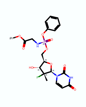 CC(C)OC(=O)CN[P@@](=O)(OC[C@H]1O[C@@H](n2ccc(=O)[nH]c2=O)[C@](C)(F)[C@@H]1O)Oc1ccccc1